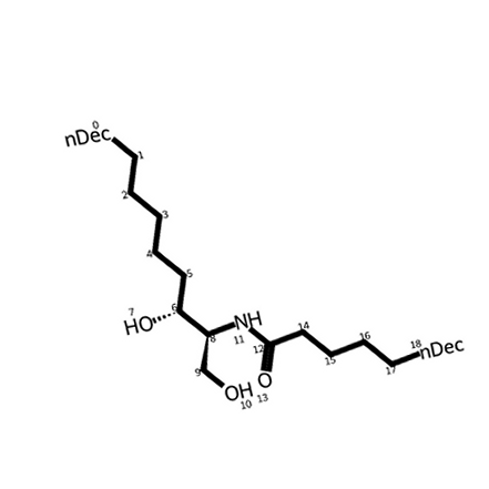 CCCCCCCCCCCCCCC[C@@H](O)[C@H](CO)NC(=O)CCCCCCCCCCCCCC